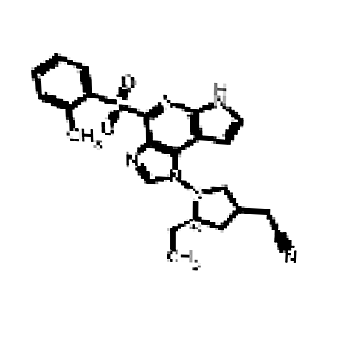 CC[C@@H]1CC(CC#N)CN1n1cnc2c(S(=O)(=O)c3ccccc3C)nc3[nH]ccc3c21